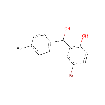 CCc1ccc(C(O)c2cc(Br)ccc2O)cc1